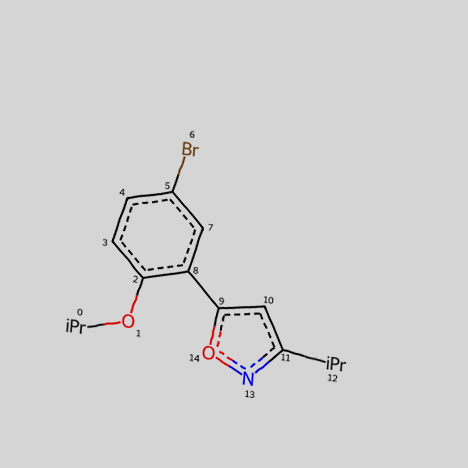 CC(C)Oc1ccc(Br)cc1-c1cc(C(C)C)no1